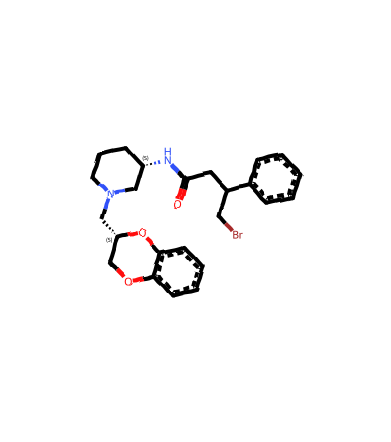 O=C(CC(CBr)c1ccccc1)N[C@H]1CCCN(C[C@H]2COc3ccccc3O2)C1